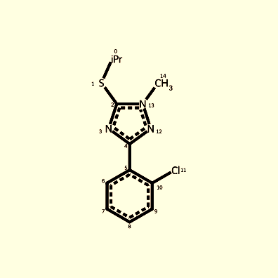 CC(C)Sc1nc(-c2ccccc2Cl)nn1C